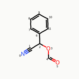 N#CC(OC=O)c1ccccc1